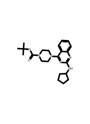 CC(C)(C)OC(=O)N1CCN(c2nc(NC3CCCC3)nc3ccccc23)CC1